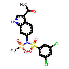 CC(=O)c1c[nH]c2cc(N(P(C)(=O)O)S(=O)(=O)c3cc(Cl)cc(Cl)c3)ccc12